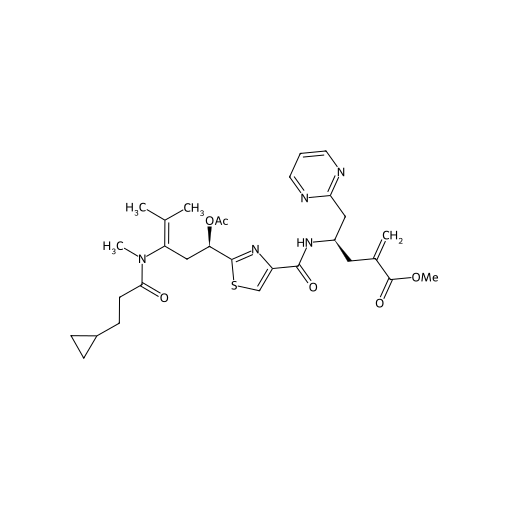 C=C(C[C@H](Cc1ncccn1)NC(=O)c1csc([C@@H](CC(=C(C)C)N(C)C(=O)CCC2CC2)OC(C)=O)n1)C(=O)OC